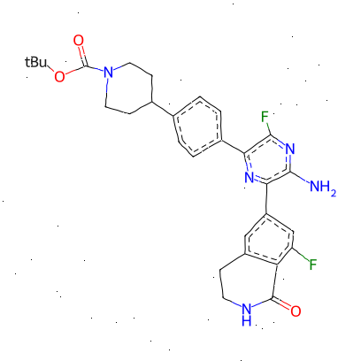 CC(C)(C)OC(=O)N1CCC(c2ccc(-c3nc(-c4cc(F)c5c(c4)CCNC5=O)c(N)nc3F)cc2)CC1